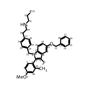 COc1ccc(-c2c(F)c3cc(OCc4ccccc4)ccc3n2Cc2ccc(CCNCCF)cc2)c(C)c1